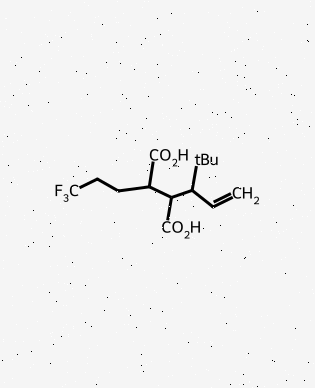 C=CC(C(C(=O)O)C(CCC(F)(F)F)C(=O)O)C(C)(C)C